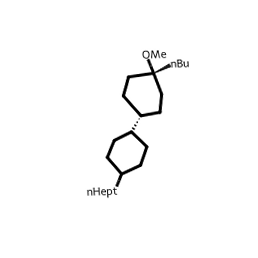 CCCCCCCC1CCC([C@H]2CC[C@@](CCCC)(OC)CC2)CC1